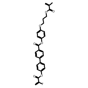 C=C(C)C(=O)OCCCOc1ccc(OC(=O)c2ccc(-c3ccc(OC(=O)C(=C)F)cc3)cc2)cc1